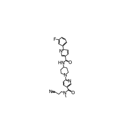 CN(CCC#N)C(=O)c1ccc(N2CCC(NC(=O)c3ccc(-c4cccc(F)c4)nc3)CC2)nc1